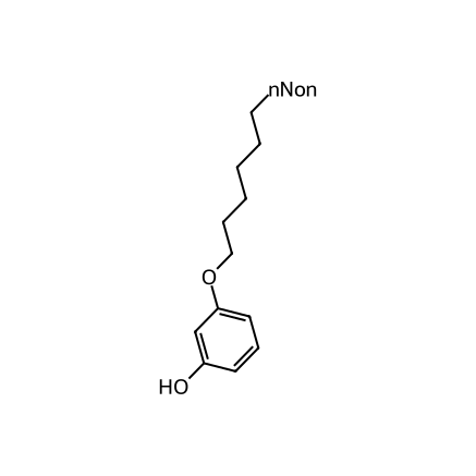 CCCCCCCCCCCCCCCOc1cccc(O)c1